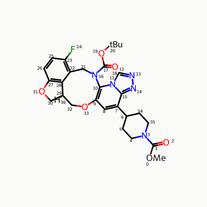 COC(=O)N1CCC(c2cc3c(n4cnnc24)N(C(=O)OC(C)(C)C)Cc2c(F)ccc4c2[C@H](CO4)CO3)CC1